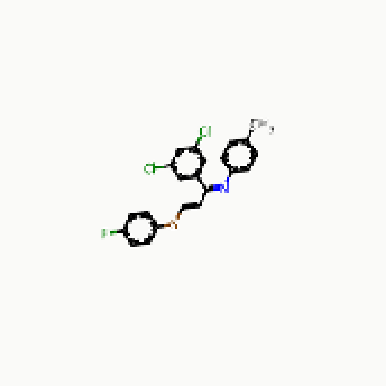 Cc1ccc(N=C(C=CSc2ccc(F)cc2)c2cc(Cl)cc(Cl)c2)cc1